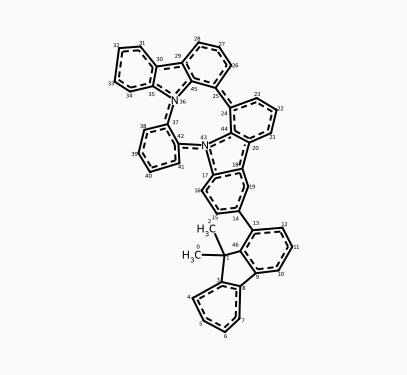 CC1(C)c2ccccc2-c2cccc(-c3ccc4c(c3)c3cccc5c6cccc7c8ccccc8n(c8ccccc8n4c35)c76)c21